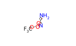 NC12CC(c3cnc(OCCOC(F)(F)F)o3)(C1)C2